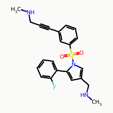 CNCC#Cc1cccc(S(=O)(=O)n2cc(CNC)cc2-c2ccccc2F)c1